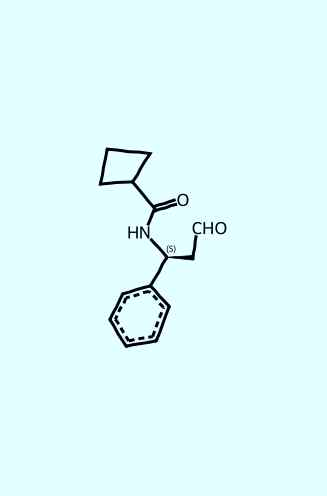 O=CC[C@H](NC(=O)C1CCC1)c1ccccc1